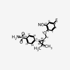 CC1(C)[C@H](COc2ccc(F)cc2C#N)[C@H]1c1ccc(S(N)(=O)=O)cc1